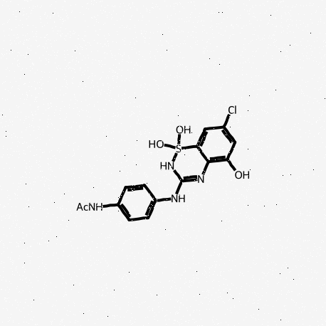 CC(=O)Nc1ccc(NC2=Nc3c(O)cc(Cl)cc3S(O)(O)N2)cc1